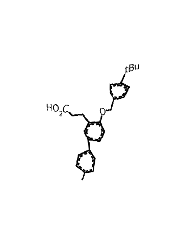 Cc1ccc(-c2ccc(OCc3ccc(C(C)(C)C)cc3)c(CCC(=O)O)c2)cc1